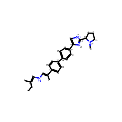 CC/C(C)=C\N/C=C(\C)c1ccc(-c2ccc(-c3c[nH]c(C4CCCN4C)n3)cc2)cc1